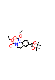 CCOC(=O)N1C=Cc2cc(B3OC(C)(C)C(C)(C)O3)ccc2N1C(=O)OCC